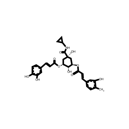 Cc1ccc(/C=C/C(=O)O[C@@H]2C[C@](O)(C(=O)NC3CC3)C[C@@H](OC(=O)/C=C/c3ccc(O)c(O)c3)[C@H]2O)cc1O